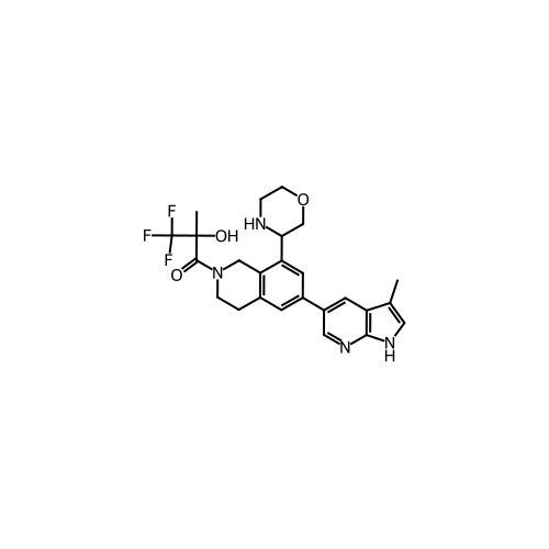 Cc1c[nH]c2ncc(-c3cc4c(c(C5COCCN5)c3)CN(C(=O)C(C)(O)C(F)(F)F)CC4)cc12